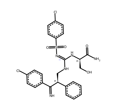 N=C(c1ccc(Cl)cc1)[C@@H](CN/C(=N/S(=O)(=O)c1ccc(Cl)cc1)N[C@H](CO)C(N)=O)c1ccccc1